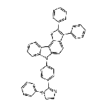 c1ccc(-c2sc3c(ccc4c3c3ccccc3n4-c3ccc(-c4nccn4-c4ccccc4)cc3)c2-c2ccccc2)cc1